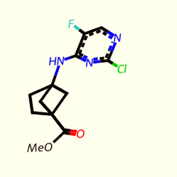 COC(=O)C12CCC(Nc3nc(Cl)ncc3F)(C1)C2